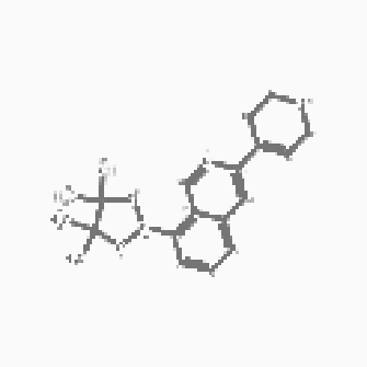 CC1(C)OB(c2cccc3cc(C4=CCOCC4)ncc23)OC1(C)C